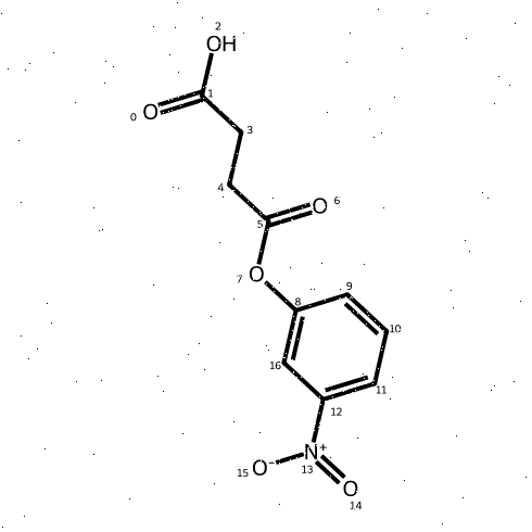 O=C(O)CCC(=O)Oc1cccc([N+](=O)[O-])c1